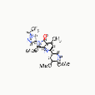 COC1CC(C2=CC(C)C3C(=O)N(C4C=NN(CC(F)(F)F)C4)[C@@H](OC)C3=N2)C=NC1OC